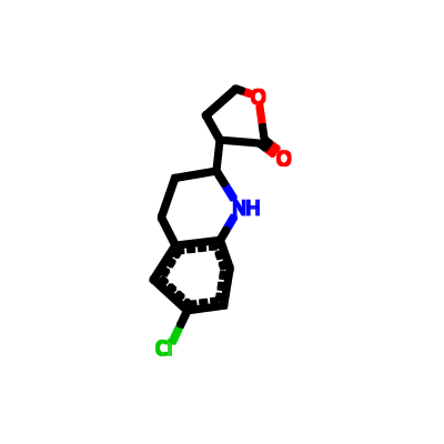 O=C1OCCC1C1CCc2cc(Cl)ccc2N1